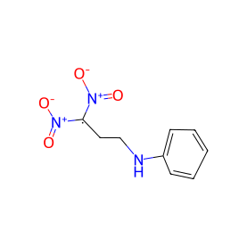 O=[N+]([O-])[C](CCNc1ccccc1)[N+](=O)[O-]